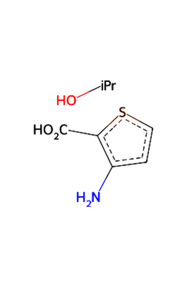 CC(C)O.Nc1ccsc1C(=O)O